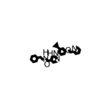 O=C(NCCC1CCCCC1)c1ccnc(Nc2ccc(OCc3ccccn3)cc2C2CC2)c1